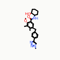 COc1c(C(=O)NC2CCCCC2O)cc(Cc2ccc(-c3cn(C)nn3)cc2)c(C)c1C